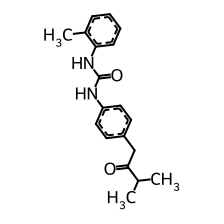 Cc1ccccc1NC(=O)Nc1ccc(CC(=O)C(C)C)cc1